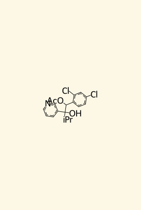 CC(=O)OC(c1ccc(Cl)cc1Cl)C(O)(c1cccnc1)C(C)C